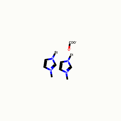 CCn1cc[n+](C)c1.CCn1cc[n+](C)c1.O=C([O-])[O-]